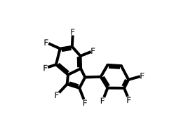 FC1=C(F)C(c2ccc(F)c(F)c2F)c2c(F)c(F)c(F)c(F)c21